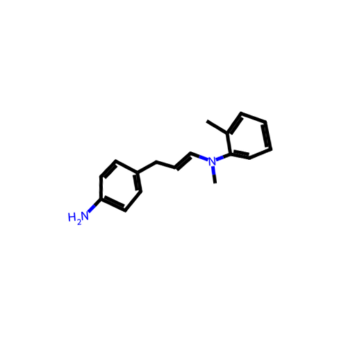 Cc1ccccc1N(C)C=CCc1ccc(N)cc1